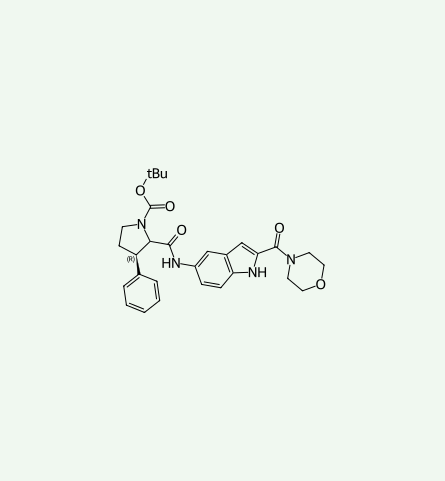 CC(C)(C)OC(=O)N1CC[C@H](c2ccccc2)C1C(=O)Nc1ccc2[nH]c(C(=O)N3CCOCC3)cc2c1